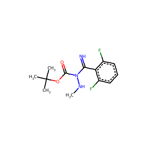 CNN(C(=N)c1c(F)cccc1F)C(=O)OC(C)(C)C